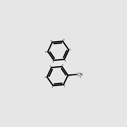 N#Cc1[c]cccc1.[c]1ccccc1